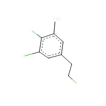 Cc1cc(CCP)cc(Cl)c1F